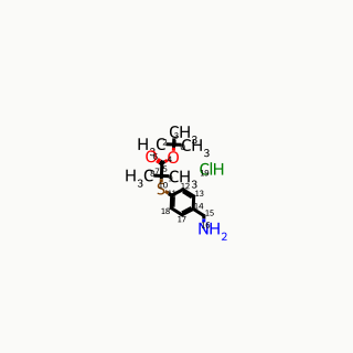 CC(C)(C)OC(=O)C(C)(C)Sc1ccc(CN)cc1.Cl